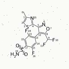 Cc1csc(-c2noc(C(F)F)c2-c2cc(F)c(S(N)(=O)=O)cc2F)n1